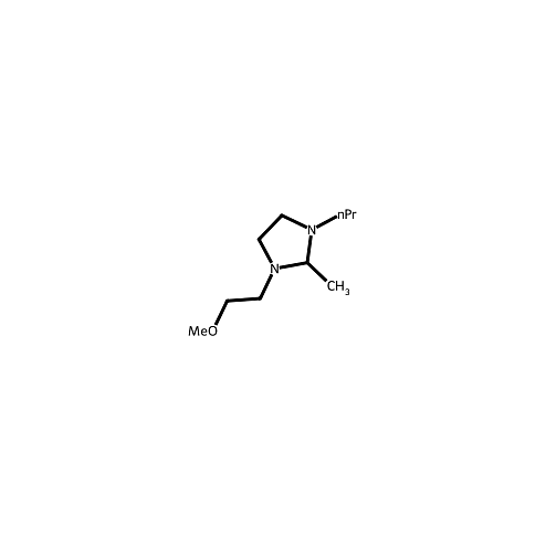 CCCN1CCN(CCOC)C1C